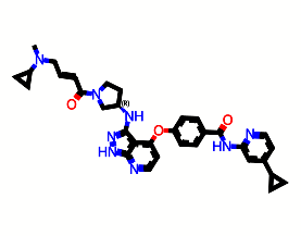 CN(CC=CC(=O)N1CC[C@@H](Nc2n[nH]c3nccc(Oc4ccc(C(=O)Nc5cc(C6CC6)ccn5)cc4)c23)C1)C1CC1